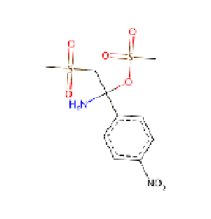 CS(=O)(=O)CC(N)(OS(C)(=O)=O)c1ccc([N+](=O)[O-])cc1